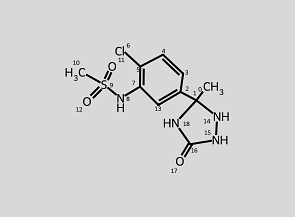 CC1(c2ccc(Cl)c(NS(C)(=O)=O)c2)NNC(=O)N1